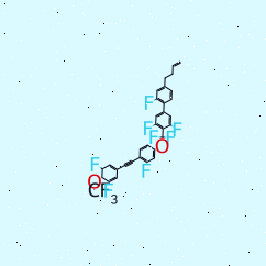 C=CCCc1ccc(-c2cc(F)c(C(F)(F)Oc3ccc(C#CC4=CC(F)C(OC(F)(F)F)C(F)=C4)c(F)c3)c(F)c2)c(F)c1